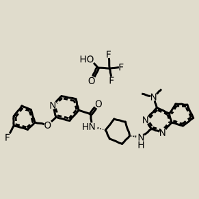 CN(C)c1nc(N[C@H]2CC[C@@H](NC(=O)c3ccnc(Oc4cccc(F)c4)c3)CC2)nc2ccccc12.O=C(O)C(F)(F)F